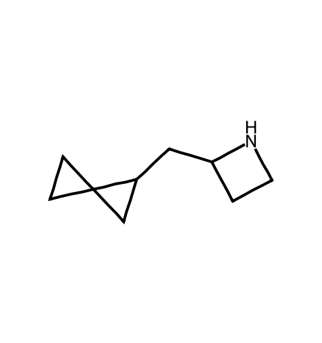 C1CC(CC2CC23CC3)N1